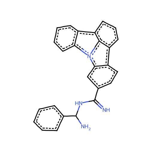 N=C(NC(N)c1ccccc1)c1ccc2c3cccc4c5ccccc5n(c2c1)c43